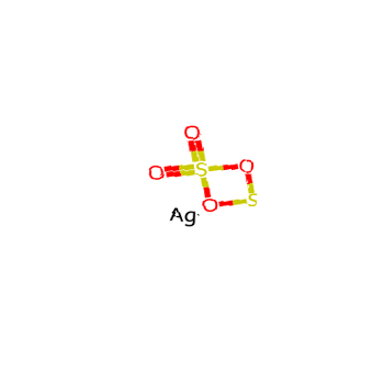 O=S1(=O)OSO1.[Ag]